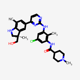 Cc1c(NC(=O)C2CCN(C)CC2)cc(Cl)cc1Nc1nccc(-c2cc(C#N)c3c(c2)[C@@](C)(CO)CN3)n1